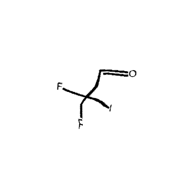 O=CC(F)(F)I